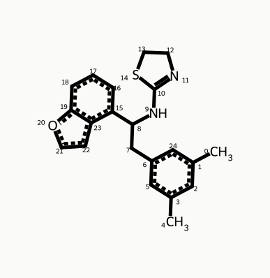 Cc1cc(C)cc(CC(NC2=NCCS2)c2cccc3occc23)c1